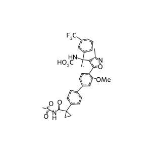 [CH2]C(NC(=O)O)(c1cccc(C(F)(F)F)c1)c1c(C)noc1-c1ccc(-c2ccc(C3(C(=O)NS(C)(=O)=O)CC3)cc2)cc1OC